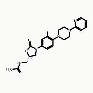 CC(=S)NC[C@H]1CN(c2ccc(N3CCN(c4ccccn4)CC3)c(F)c2)C(=O)O1